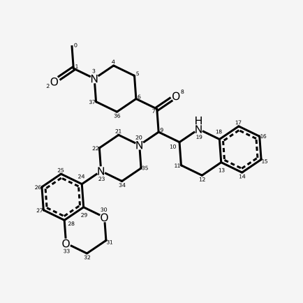 CC(=O)N1CCC(C(=O)C(C2CCc3ccccc3N2)N2CCN(c3cccc4c3OCCO4)CC2)CC1